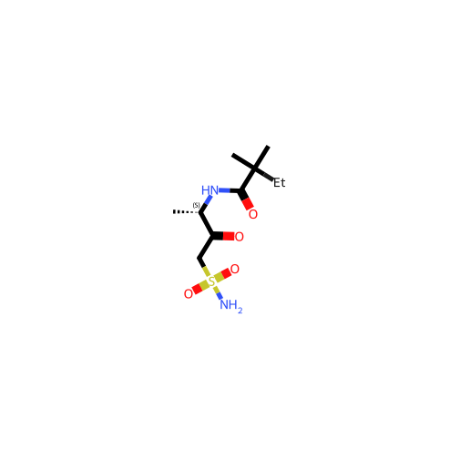 CCC(C)(C)C(=O)N[C@@H](C)C(=O)CS(N)(=O)=O